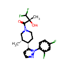 C[C@@H]1CN(C(=O)[C@@](C)(O)C(F)F)CC[C@@H]1c1ccnn1-c1ccc(F)cc1F